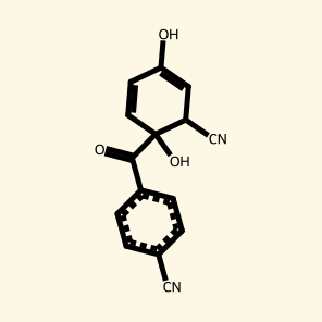 N#Cc1ccc(C(=O)C2(O)C=CC(O)=CC2C#N)cc1